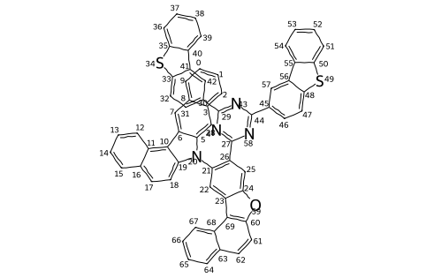 c1ccc2cc3c(cc2c1)c1c2ccccc2ccc1n3-c1cc2c(cc1-c1nc(-c3ccc4sc5ccccc5c4c3)nc(-c3ccc4sc5ccccc5c4c3)n1)oc1ccc3ccccc3c12